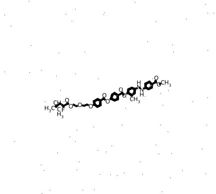 COC(=O)c1ccc(NNc2ccc(OC(=O)c3ccc(OC(=O)c4ccc(OCCOCCOC(=O)C(F)CC(C)(C)C)cc4)cc3)c(C)c2)cc1